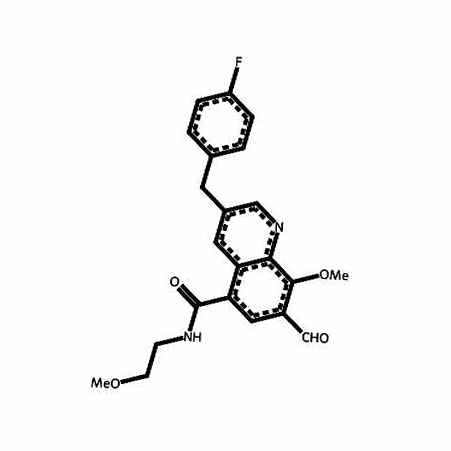 COCCNC(=O)c1cc(C=O)c(OC)c2ncc(Cc3ccc(F)cc3)cc12